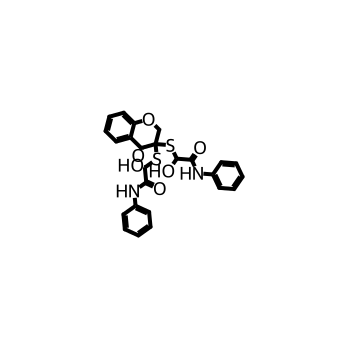 O=C(Nc1ccccc1)C(O)SC1(SC(O)C(=O)Nc2ccccc2)COc2ccccc2C1=O